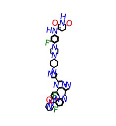 N#Cc1cnn2cc(-c3cnn(C4CCC(N5CCN(c6ccc(N[C@H]7CCC(=O)NC7=O)cc6F)CC5)CC4)c3)nc(-c3ccc(N4CC5CC(C4)N5C(=O)c4c(F)cccc4F)nc3)c12